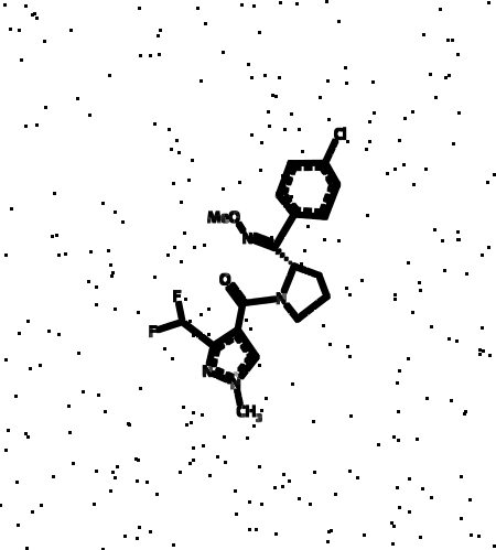 CON=C(c1ccc(Cl)cc1)[C@@H]1CCCN1C(=O)c1cn(C)nc1C(F)F